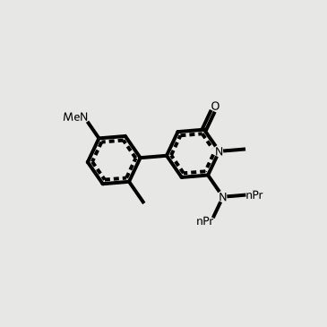 CCCN(CCC)c1cc(-c2cc(NC)ccc2C)cc(=O)n1C